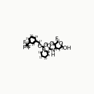 O=C(O)CC(NC(=O)[C@@H]1CCCCN1C(=O)OCc1cccc(C(F)(F)F)c1)C(=O)CF